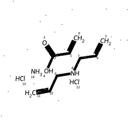 C=CC(=O)O.C=CCNCC=C.Cl.Cl.N